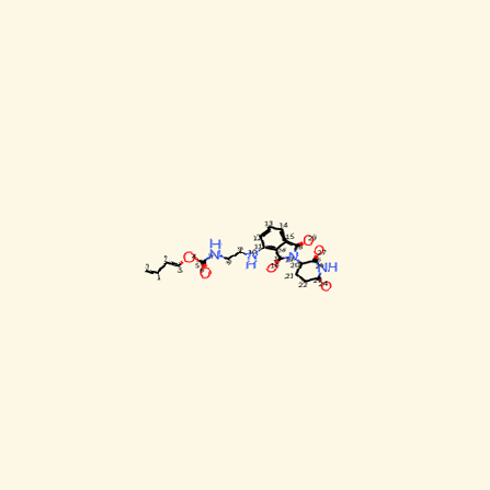 CCCCOC(=O)NCCNc1cccc2c1C(=O)N(C1CCC(=O)NC1=O)C2=O